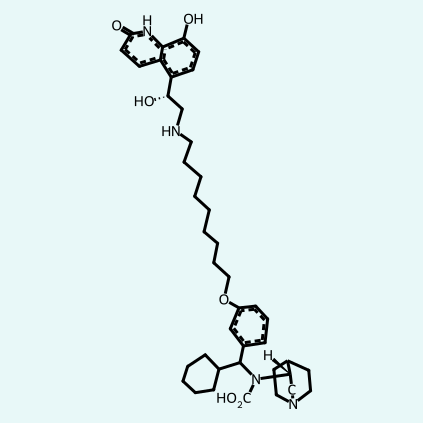 O=C(O)N(C(c1cccc(OCCCCCCCCCNC[C@H](O)c2ccc(O)c3[nH]c(=O)ccc23)c1)C1CCCCC1)[C@H]1CN2CCC1CC2